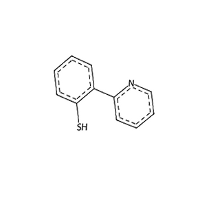 Sc1ccccc1-c1ccccn1